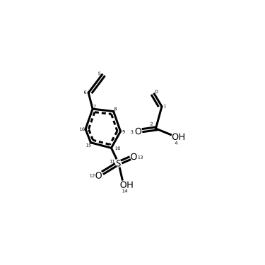 C=CC(=O)O.C=Cc1ccc(S(=O)(=O)O)cc1